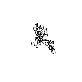 Nc1nc(C#CCN(C(=O)c2ccc(Cl)nc2)C2CC2)nc2c1ncn2[C@@H]1O[C@H](C(=O)NC2CC2)[C@@H](O)[C@H]1O